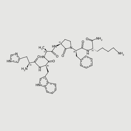 C[C@H](NC(=O)[C@@H](Cc1c[nH]c2ccccc12)NC(=O)[C@@H](N)Cc1c[nH]cn1)C(=O)N[C@H]1CCN([C@H](Cc2ccccc2)C(=O)N[C@@H](CCCCN)C(N)=O)C1=O